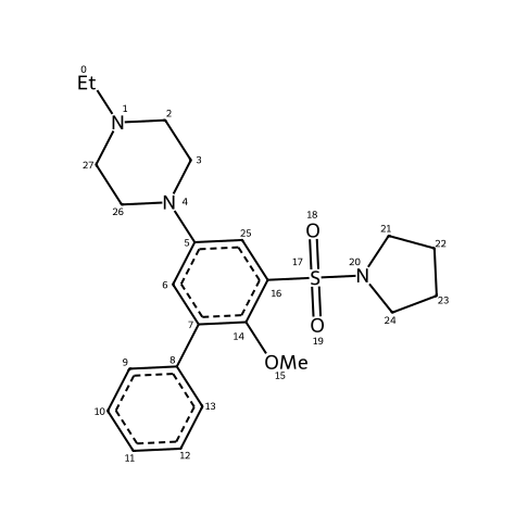 CCN1CCN(c2cc(-c3ccccc3)c(OC)c(S(=O)(=O)N3CCCC3)c2)CC1